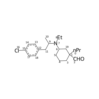 CCCC1(C=O)CCCC(N(CC)C(C)Cc2ccc(Cl)cc2)C1